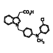 CN(c1ccc(Cn2cc(CC(=O)O)c3ccccc32)cc1)c1cccc(Cl)c1